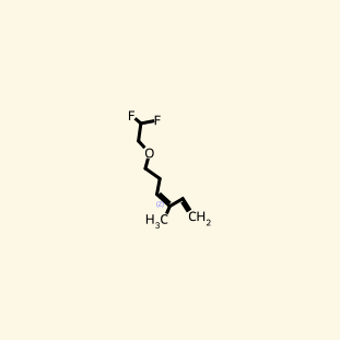 C=C/C(C)=C\CCOCC(F)F